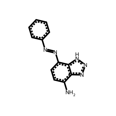 Nc1ccc(N=Nc2ccccc2)c2[nH]nnc12